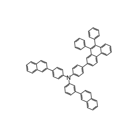 c1ccc(-c2c(-c3ccccc3)c3cc(-c4ccc(N(c5ccc(-c6ccc7ccccc7c6)cc5)c5cccc(-c6ccc7ccccc7c6)c5)cc4)ccc3c3ccccc23)cc1